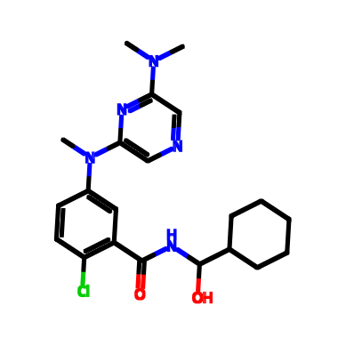 CN(C)c1cncc(N(C)c2ccc(Cl)c(C(=O)NC(O)C3CCCCC3)c2)n1